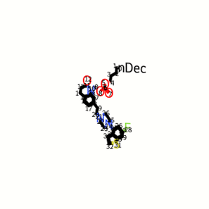 CCCCCCCCCCCCCCOC(=O)OCN1C(=O)CCc2ccc(CCN3CCN(c4cc(F)cc5sccc45)CC3)cc21